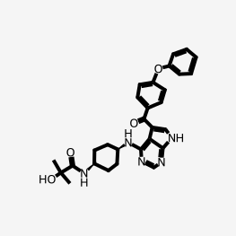 CC(C)(O)C(=O)N[C@H]1CC[C@@H](Nc2ncnc3[nH]cc(C(=O)c4ccc(Oc5ccccc5)cc4)c23)CC1